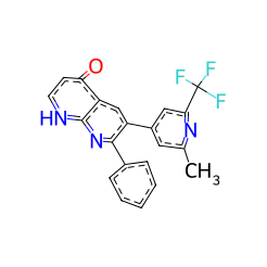 Cc1cc(-c2cc3c(=O)cc[nH]c3nc2-c2ccccc2)cc(C(F)(F)F)n1